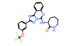 O=C1NCCCC[C@@H]1Nc1nc2ccccc2c2nc(-c3cccc(OC(F)(F)F)c3)nn12